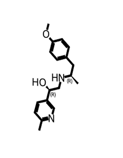 COc1ccc(C[C@@H](C)NC[C@H](O)c2ccc(C)nc2)cc1